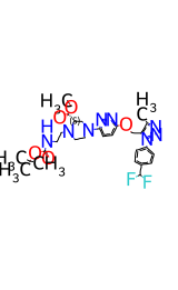 COC(=O)[C@@H]1CN(c2ccc(OCc3c(C)nnn3-c3ccc(C(F)F)cc3)nn2)CCN1CCNC(=O)OC(C)(C)C